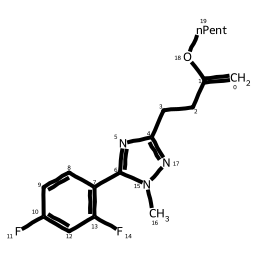 C=C(CCc1nc(-c2ccc(F)cc2F)n(C)n1)OCCCCC